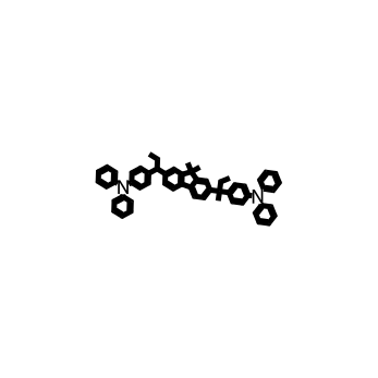 CCC(c1ccc(N(c2ccccc2)c2ccccc2)cc1)c1ccc2c(c1)C(C)(C)c1cc(C(C)(CC)c3ccc(N(c4ccccc4)c4ccccc4)cc3)ccc1-2